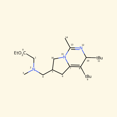 CCOC(=O)CN(C)CC1CC2=C(C(C)(C)C)C(C(C)(C)C)N=C(C)N2C1